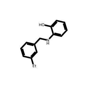 CCc1cccc(CNc2ccccc2O)c1